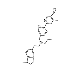 C=C1CCc2cc(CCN(CCC)Cc3ccc(-c4cc(C)c(C#N)cn4)nc3)ccc21